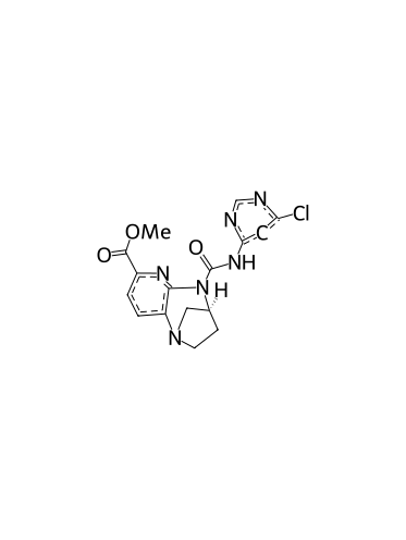 COC(=O)c1ccc2c(n1)N(C(=O)Nc1cc(Cl)ncn1)[C@H]1CCN2C1